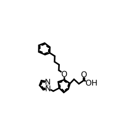 O=C(O)CCc1ccc(Cn2cccn2)cc1OCCCCc1ccccc1